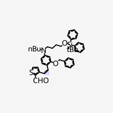 CCCCN(CCCCO[Si](c1ccccc1)(c1ccccc1)C(C)(C)C)c1ccc(/C=C\c2ccsc2C=O)c(OCc2ccccc2)c1